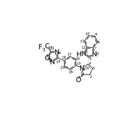 O=C1CC[C@@H](c2nc3ccccc3[nH]2)N1c1ccc(-c2noc(C(F)(F)F)n2)cc1